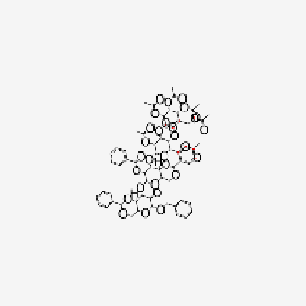 CC(=O)OCC1O[C@@H](O[C@@H]2C(OC(C)=O)[C@H](O[C@@H]3C(OC(=O)c4ccccc4)[C@H](O[C@@H]4C(=O)[C@H](OCc5ccccc5)OC5COC(c6ccccc6)O[C@H]54)OC4COC(c5ccccc5)O[C@H]43)OC(COC(C)=O)[C@H]2OC(C)=O)C(OC(C)=O)[C@@H](OC(C)=O)[C@@H]1OC(C)=O